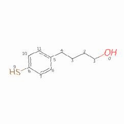 OCCCCc1ccc(S)cc1